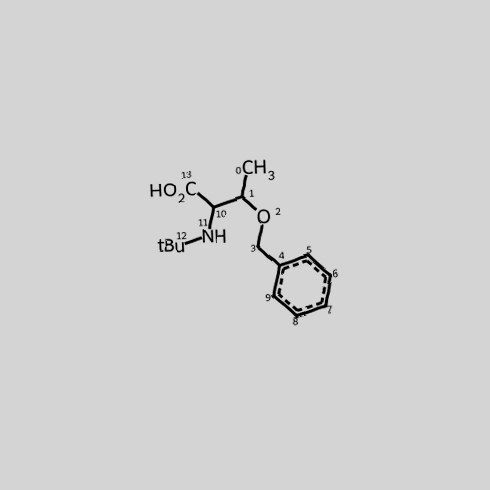 CC(OCc1ccccc1)C(NC(C)(C)C)C(=O)O